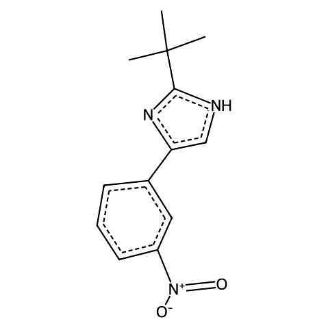 CC(C)(C)c1nc(-c2cccc([N+](=O)[O-])c2)c[nH]1